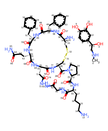 CNC[C@H](O)c1ccc(O)c(O)c1.NCCCC[C@H](NC(=O)[C@@H]1CCCN1C(=O)[C@@H]1CSSC[C@H](N)C(=O)N[C@@H](Cc2ccccc2)C(=O)N[C@@H](Cc2ccccc2)C(=O)N[C@@H](CCC(N)=O)C(=O)N[C@@H](CC(N)=O)C(=O)N1)C(=O)NCC(N)=O